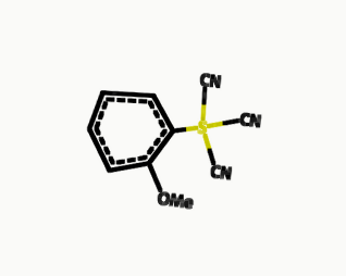 COc1ccccc1S(C#N)(C#N)C#N